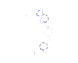 N#Cc1ccc(OC2CCN(c3ccc4nnc(C(F)(F)F)n4n3)CC2)cn1